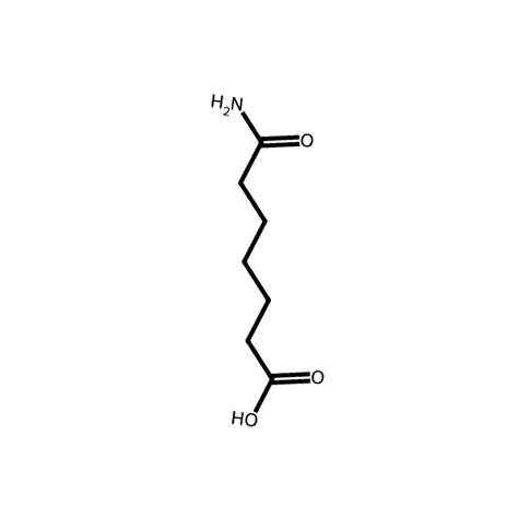 NC(=O)CCCCCC(=O)O